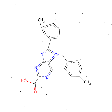 Cc1ccc(Cn2c(-c3cccc(C)c3)nc3nc(C(=O)O)ncc32)cc1